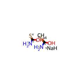 C.NC(O)=S.NC(O)=S.[NaH]